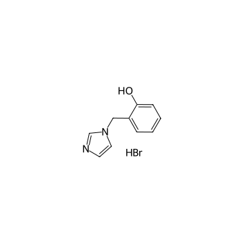 Br.Oc1ccccc1Cn1ccnc1